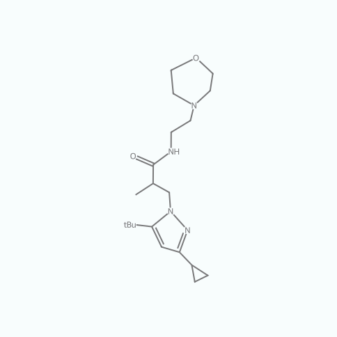 CC(Cn1nc(C2CC2)cc1C(C)(C)C)C(=O)NCCN1CCOCC1